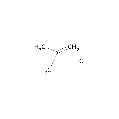 C=C(C)C.[C]